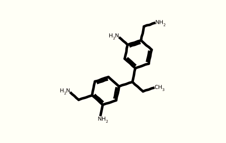 CCC(c1ccc(CN)c(N)c1)c1ccc(CN)c(N)c1